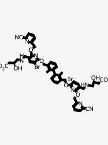 Cc1c(COc2nc(OCc3cccc(C#N)n3)c(CNC[C@@H](O)CC(=O)O)cc2Br)cccc1-c1cccc(COc2nc(OCc3cccc(C#N)n3)c(CNC[C@@H](O)CC(=O)O)cc2Br)c1C